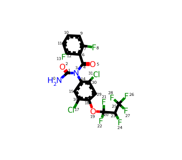 NC(=O)N(C(=O)c1c(F)cccc1F)c1cc(Cl)c(OC(F)(F)C(F)C(F)(F)F)cc1Cl